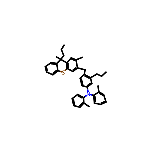 CCCc1cc(N(c2ccccc2C)c2ccccc2C)ccc1Cc1cc2c(cc1C)C(C)(CCC)c1ccccc1S2